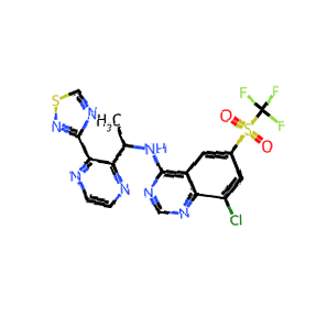 CC(Nc1ncnc2c(Cl)cc(S(=O)(=O)C(F)(F)F)cc12)c1nccnc1-c1ncsn1